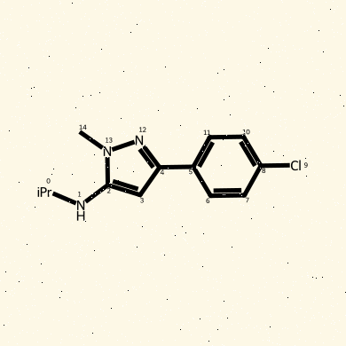 CC(C)Nc1cc(-c2ccc(Cl)cc2)nn1C